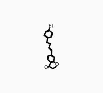 CCc1ccc(CC/C=C/c2ccc3c(c2)OCCC3=O)cc1